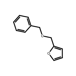 c1ccc(COCc2ccco2)cc1